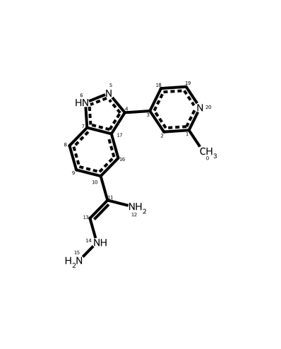 Cc1cc(-c2n[nH]c3ccc(/C(N)=C/NN)cc23)ccn1